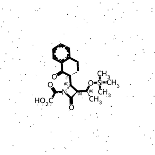 C[C@@H](O[Si](C)(C)C)[C@H]1C(=O)N(C(=O)C(=O)O)[C@@H]1[C@H]1CCc2ccccc2C1=O